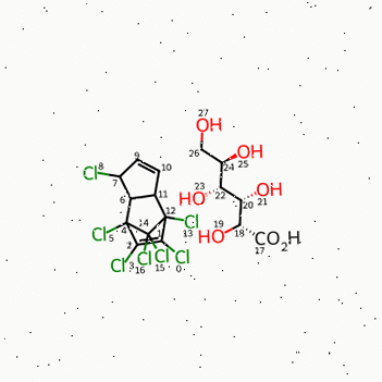 ClC1=C(Cl)C2(Cl)C3C(Cl)C=CC3C1(Cl)C2(Cl)Cl.O=C(O)[C@H](O)[C@@H](O)[C@H](O)[C@H](O)CO